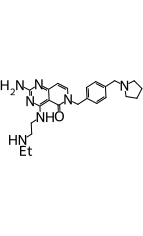 CCNCCNc1nc(N)nc2ccn(Cc3ccc(CN4CCCC4)cc3)c(=O)c12